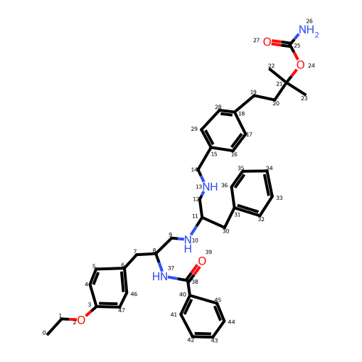 CCOc1ccc(CC(CNC(CNCc2ccc(CCC(C)(C)OC(N)=O)cc2)Cc2ccccc2)NC(=O)c2ccccc2)cc1